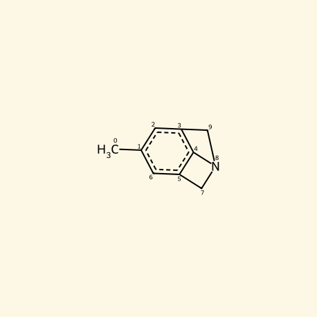 Cc1cc2c3c(c1)CN3C2